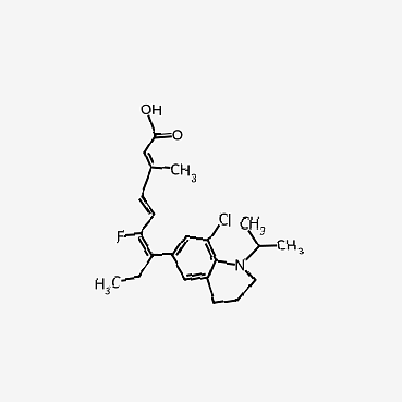 CC/C(=C(F)/C=C/C(C)=C/C(=O)O)c1cc(Cl)c2c(c1)CCCN2C(C)C